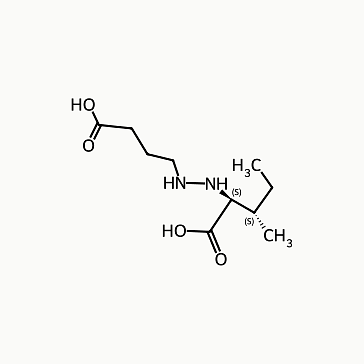 CC[C@H](C)[C@H](NNCCCC(=O)O)C(=O)O